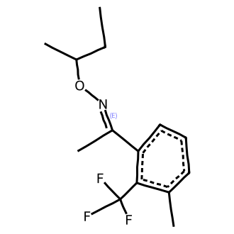 CCC(C)O/N=C(\C)c1cccc(C)c1C(F)(F)F